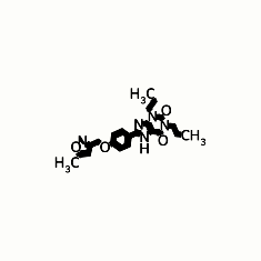 CCCn1c(=O)c2[nH]c(-c3ccc(OCc4cc(C)on4)cc3)nc2n(CCC)c1=O